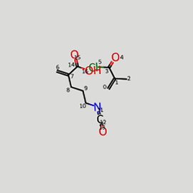 C=C(C)C(=O)Cl.C=C(CCCN=C=O)C(=O)O